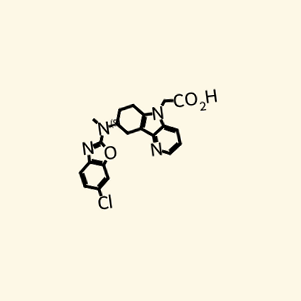 CN(c1nc2ccc(Cl)cc2o1)[C@H]1CCc2c(c3ncccc3n2CC(=O)O)C1